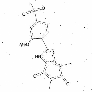 COc1cc(S(C)(=O)=O)ccc1-c1nc2c([nH]1)c(=O)n(C)c(=O)n2C